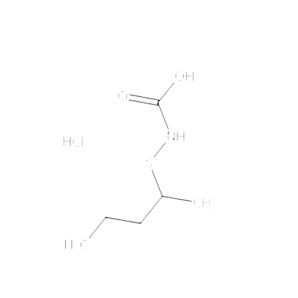 CCCC(C)SNC(=O)O.Cl